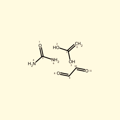 C=C(O)O.NC(N)=O.O=CC=O